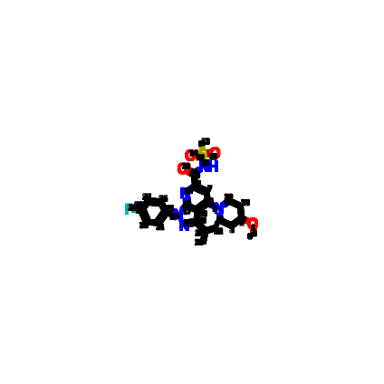 COC1CCN(c2cc(C(=O)NS(C)(=O)=O)nc3c2c(C(C)C)nn3-c2ccc(F)cc2)CC1